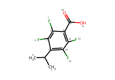 CC(C)c1c(F)c(F)c(C(=O)O)c(F)c1F